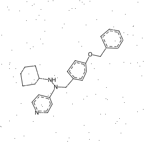 c1ccc(COc2ccc(CN(NC3CCCCC3)c3ccncc3)cc2)cc1